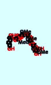 COC1CC(OC2C(C)OC3(COC4CC(OC(C)C5(O)CCC6C7CC=C8CC(O)CCC8(C)C7CCC65C)OC(C)C4OO3)CC2OC)OC(C)C1OC1CC(OC)C(OC2CC(OC)C(OC3OC(C)C(O)C(OC)C3O)C(C)O2)C(C)O1